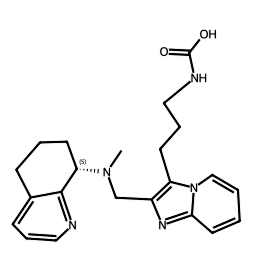 CN(Cc1nc2ccccn2c1CCCNC(=O)O)[C@H]1CCCc2cccnc21